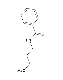 COCCCNC(=O)c1ccccc1